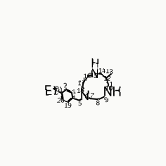 CCc1ccc(CN2CCCNCC(C)CNCCC2)cc1